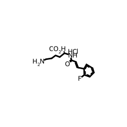 Cl.NCCCC[C@H](NC(=O)C=Cc1ccccc1F)C(=O)O